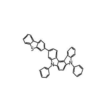 c1ccc(-n2c3ccccc3c3c4c5ccc(-c6ccc7c(c6)sc6ccccc67)cc5n(-c5ccccc5)c4ccc32)cc1